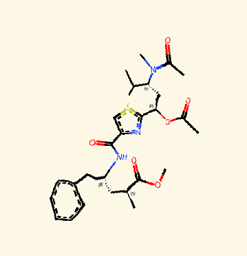 COC(=O)[C@@H](C)C[C@H](Cc1ccccc1)NC(=O)c1csc([C@@H](C[C@H](C(C)C)N(C)C(C)=O)OC(C)=O)n1